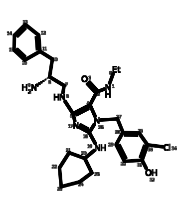 CCNC(=O)c1c(NC[C@H](N)Cc2ccccc2)nc(NC2CCCCC2)n1Cc1ccc(O)c(Cl)c1